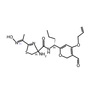 C=CCOC1=C(C=O)COC([C@@H](CCC)NC(=O)[C@]2(N)CSC(/C(C)=N/O)=N2)=C1